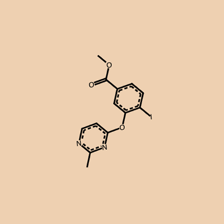 COC(=O)c1ccc(I)c(Oc2ccnc(C)n2)c1